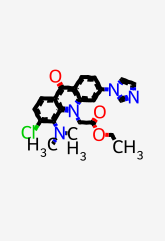 CCOC(=O)Cn1c2cc(-n3ccnc3)ccc2c(=O)c2ccc(Cl)c(N(C)C)c21